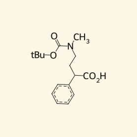 CN(CCC(C(=O)O)c1ccccc1)C(=O)OC(C)(C)C